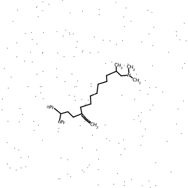 C=C=C(CCCCCCCC(C)CN(C)C)CCC(CCC)CCC